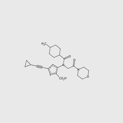 CC1CCC(C(=O)N(CC(=O)N2CCOCC2)c2cc(C#CC3CC3)sc2C(=O)O)CC1